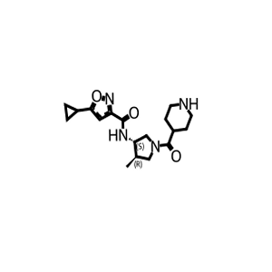 C[C@@H]1CN(C(=O)C2CCNCC2)C[C@H]1NC(=O)c1cc(C2CC2)on1